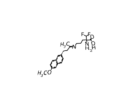 COc1ccc2cc(CC/C(C)=N/CCCC(N)(C(=O)O)C(F)F)ccc2c1